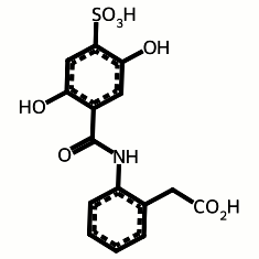 O=C(O)Cc1ccccc1NC(=O)c1cc(O)c(S(=O)(=O)O)cc1O